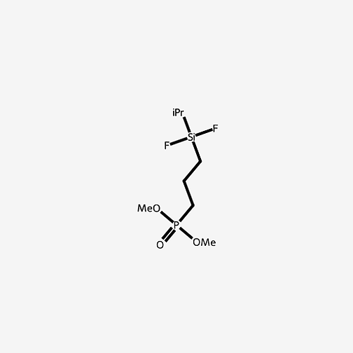 COP(=O)(CCC[Si](F)(F)C(C)C)OC